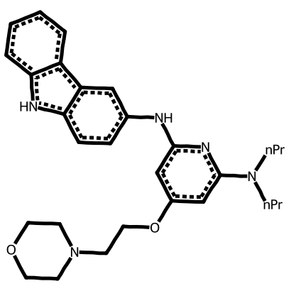 CCCN(CCC)c1cc(OCCN2CCOCC2)cc(Nc2ccc3[nH]c4ccccc4c3c2)n1